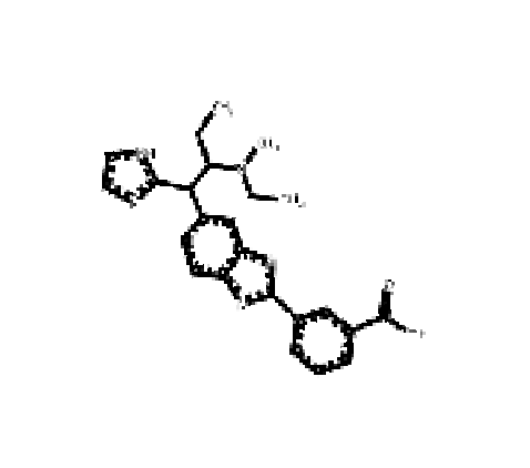 CCC(C(c1ccc2nc(-c3cccc(C(=O)O)c3)sc2c1)c1ncc[nH]1)N(C)CC